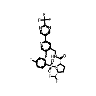 O=C(NCc1cc(-c2cnc(C(F)(F)F)nc2)ncc1F)[C@@H]1CC[C@H](C(F)F)N1S(=O)(=O)c1ccc(F)cc1